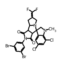 CN1CC2(c3cc(Cl)cc(Cl)c31)C1C(=O)N(c3cc(Br)cc(Br)c3)C(=O)C1C1CC(=C(F)F)CN12